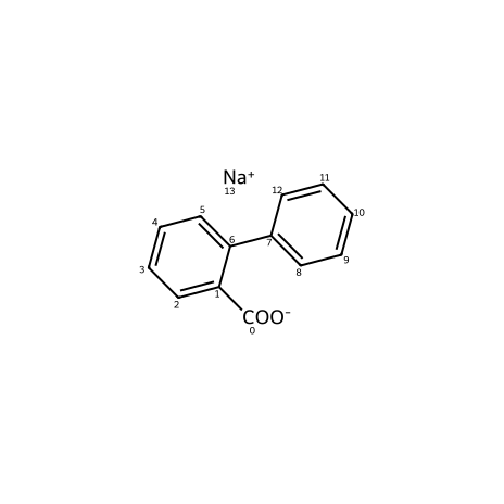 O=C([O-])c1ccccc1-c1ccccc1.[Na+]